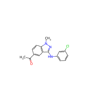 CC(=O)c1ccc2c(c1)c(Nc1cccc(Cl)c1)nn2C